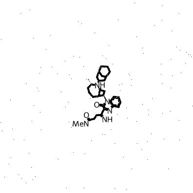 CNC(=O)CCC(=N)c1nc2ccccc2n([C@@H]2C[C@@H]3C2CCC[C@H](C)N3C2CC3CCCC(C3)C2)c1=O